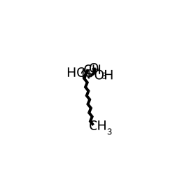 CCCCCCCCCCCC[N+](C)(O)CC(=O)O